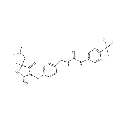 CC(C)CC1(C)NC(=N)N(Cc2ccc(CNC(=O)Nc3ccc(C(F)(F)F)cc3)cc2)C1=O